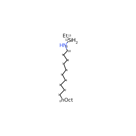 CCCCCCCCCCCCCCCCCCN[SiH2]CC